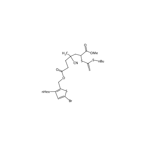 CCCCCCc1cc(Br)sc1COC(=O)CCC(C)(C#N)CC(SC(=S)SCCCC)C(=O)OC